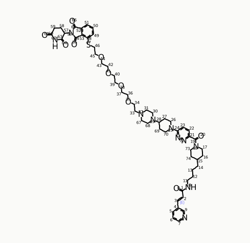 O=C(/C=C/c1cccnc1)NCCCCC1CCN(C(=O)c2ccc(N3CCC(N4CCN(CCOCCOCCOCCOCCSc5cccc6c5C(=O)N(C5CCC(=O)NC5=O)C6=O)CC4)CC3)nn2)CC1